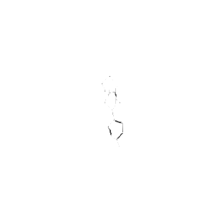 Cc1ccc(C2CN3CCSC3=N2)cc1